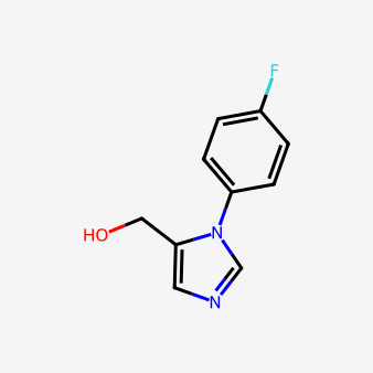 OCc1cncn1-c1ccc(F)cc1